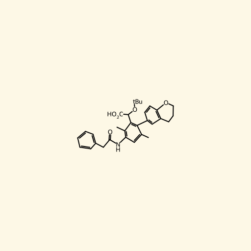 Cc1cc(NC(=O)Cc2ccccc2)c(C)c(C(OC(C)(C)C)C(=O)O)c1-c1ccc2c(c1)CCCO2